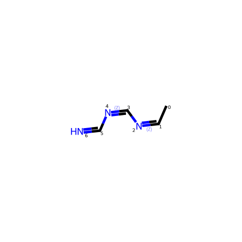 C/C=N\C=N/C=N